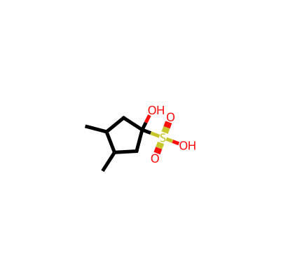 CC1CC(O)(S(=O)(=O)O)CC1C